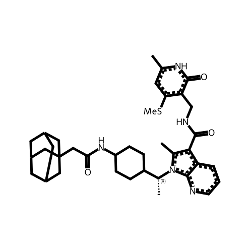 CSc1cc(C)[nH]c(=O)c1CNC(=O)c1c(C)n([C@H](C)C2CCC(NC(=O)CC34CC5CC(CC(C5)C3)C4)CC2)c2ncccc12